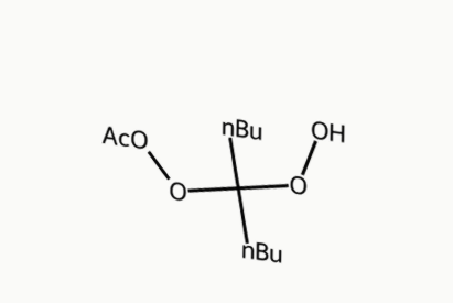 CCCCC(CCCC)(OO)OOC(C)=O